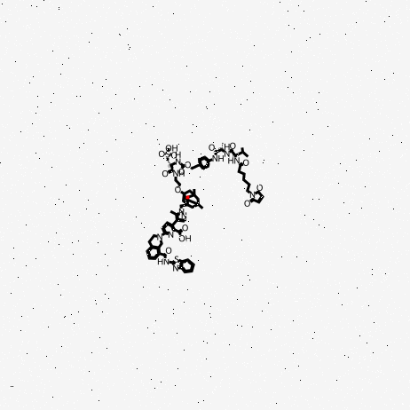 Cc1c(-c2ccc(N3CCc4cccc(C(=O)Nc5nc6ccccc6s5)c4C3)nc2C(=O)O)cnn1CC12CC3(C)CC(C)(C1)CC(OCCNC(=O)[C@H](CS(=O)(=O)O)NC(=O)OCc1ccc(NC(=O)[C@H](C)NC(=O)[C@@H](NC(=O)CCCCCN4C(=O)C=CC4=O)C(C)C)cc1)(C3)C2